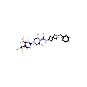 COc1nc(N2C[C@@H](C)N(C(=O)NC3CC4(C3)CN(Cc3ccccc3)C4)[C@@H](C)C2)ncc1C(F)(F)F